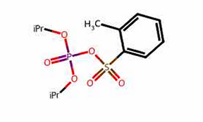 Cc1ccccc1S(=O)(=O)OP(=O)(OC(C)C)OC(C)C